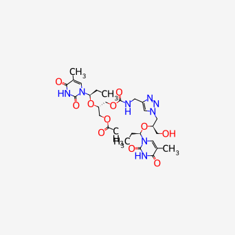 CC[C@@H](O[C@H](CO)Cn1cc(CNC(=O)OC[C@H](COC(C)=O)O[C@H](CC)n2cc(C)c(=O)[nH]c2=O)nn1)n1cc(C)c(=O)[nH]c1=O